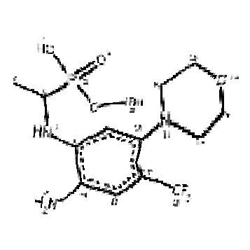 CCC(C)OP(=O)(O)C(C)Nc1cc(N2CCOCC2)c(C(F)(F)F)cc1N